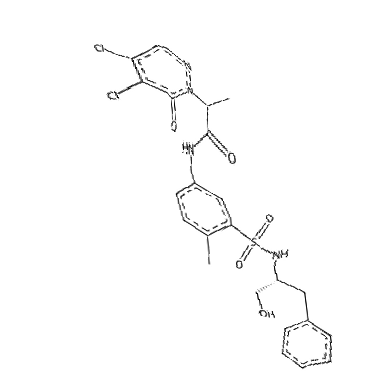 Cc1ccc(NC(=O)C(C)n2ncc(Cl)c(Cl)c2=O)cc1S(=O)(=O)N[C@@H](CO)Cc1ccccc1